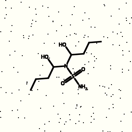 CCCC(O)N(C(O)CCC)S(N)(=O)=O